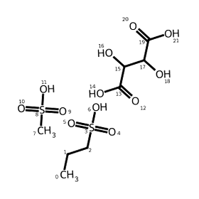 CCCS(=O)(=O)O.CS(=O)(=O)O.O=C(O)C(O)C(O)C(=O)O